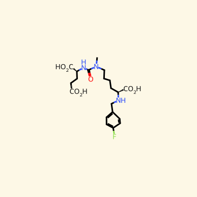 CN(CCCC[C@H](NCc1ccc(F)cc1)C(=O)O)C(=O)N[C@@H](CCC(=O)O)C(=O)O